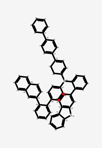 c1c(-c2ccccc2N(C2=CC=C(c3ccc(-c4ccccc4)cc3)CC2)c2ccc(-c3ccccc3-c3ccc4ccccc4c3)cc2)cc2sc3ccccc3c2c#1